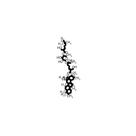 C=CC(C)(C)CC/C=C(\CO)C(=O)OC1C(C)OC(O[C@](C)(C=C)CC/C=C(\CO)C(=O)OC2CC3(C(=O)OC)C(O)CC4(C)C(=CCC5C6(C)CCC(C)C(C)(C)C6CCC54C)C3CC2(C)C)C(O)C1O